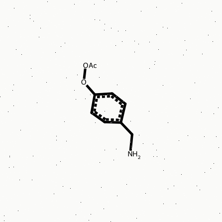 CC(=O)OOc1ccc(CN)cc1